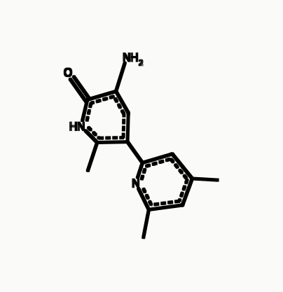 Cc1cc(C)nc(-c2cc(N)c(=O)[nH]c2C)c1